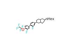 CCCCCCC1CCC2CC(c3ccc(-c4ccc(OC(F)(F)C(F)F)c(F)c4)c(F)c3)CCC2C1